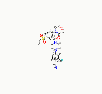 CCS(=O)(=O)c1ccc(N2CCOCC2)c(C(=O)N2CCN(c3ccc(C#N)c(F)c3)CC2)c1